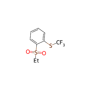 CCS(=O)(=O)c1ccccc1SC(F)(F)F